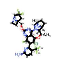 C[C@@H]1Oc2c(Cl)c(-c3nc(N)ccc3C(F)(F)F)c(F)c3nc(OC[C@@]45CCN4CC(F)(F)C5)nc(c23)N2C[C@H]3CC[C@H](N3)[C@@H]12